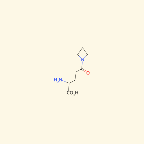 NC(CCC(=O)N1CCC1)C(=O)O